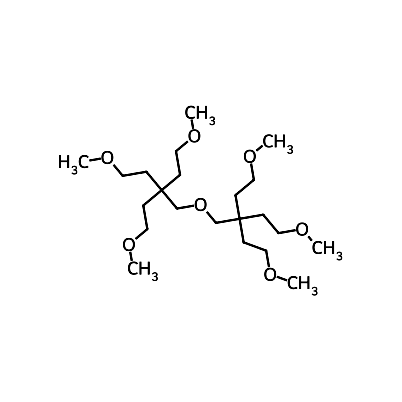 COCCC(CCOC)(CCOC)COCC(CCOC)(CCOC)CCOC